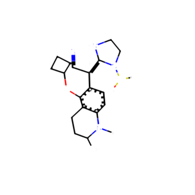 CC1CCc2c(ccc(/C(C=N)=C3/NCCN3[S+](C)[O-])c2OC2CCC2)N1C